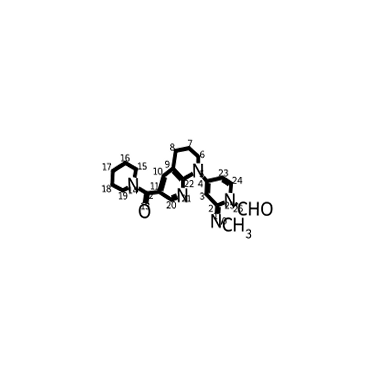 C/N=c1/cc(N2CCCc3cc(C(=O)N4CCCCC4)cnc32)ccn1C=O